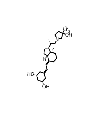 C[C@H](CN1CCC(O)(C(F)(F)F)C1)[C@H]1CC[C@H]2C(=CC=C3C[C@@H](O)C[C@H](O)C3)CCC[C@]12C